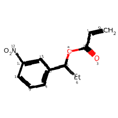 C=CC(=O)OC(CC)c1cccc([N+](=O)[O-])c1